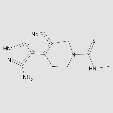 CNC(=S)N1CCc2c(cnc3[nH]nc(N)c23)C1